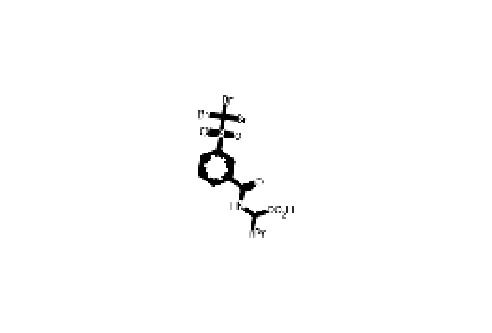 CCCC(NC(=O)c1cccc(S(=O)(=O)C(Br)(Br)Br)c1)C(=O)O